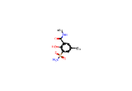 CCCCNC(=O)c1cc(C(C)(C)C)cc(S(N)(=O)=O)c1O